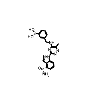 Cc1nnc(-n2ncc3c([S+](N)[O-])cccc32)nc1NCc1cccc(B(O)O)c1